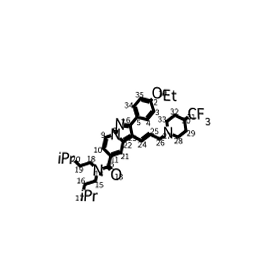 CCOc1ccc(-c2nn3ccc(C(=O)N(CCC(C)C)CCC(C)C)cc3c2/C=C/CN2CCC(C(F)(F)F)CC2)cc1